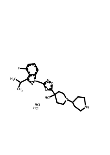 CC(C)c1nn(-c2noc(C3(O)CCN(C4CCNCC4)CC3)n2)c2cccc(F)c12.Cl.Cl